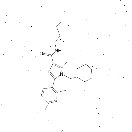 CCCCNC(=O)c1cc(-c2ccc(C)cc2C)n(CC2CCCCC2)c1C